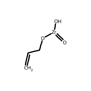 C=CC[O][Zr](=[O])[OH]